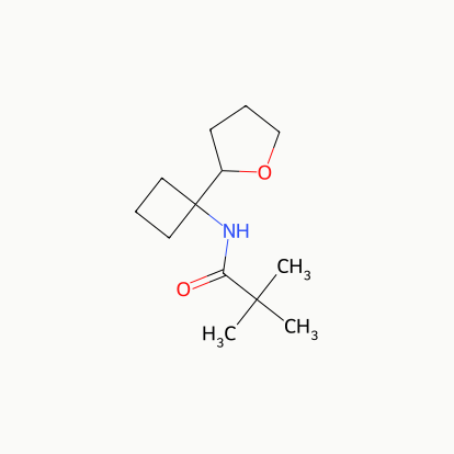 CC(C)(C)C(=O)NC1(C2CCCO2)CCC1